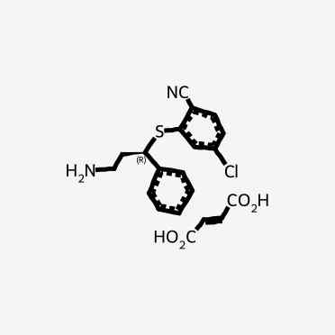 N#Cc1ccc(Cl)cc1S[C@H](CCN)c1ccccc1.O=C(O)C=CC(=O)O